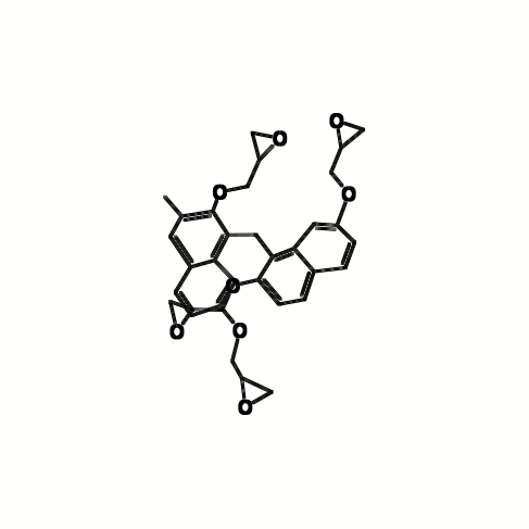 Cc1cc2ccc(OCC3CO3)cc2c(Cc2c(OCC3CO3)ccc3ccc(OCC4CO4)cc23)c1OCC1CO1